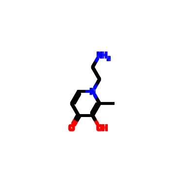 Cc1c(O)c(=O)ccn1CCN